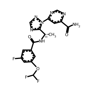 C[C@H](NC(=O)c1cc(F)cc(OC(F)F)c1)c1ncnn1-c1cc(C(N)=O)ncn1